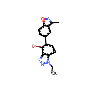 Cc1noc2ccc(-c3ccc4c(nnn4CC(C)(C)C)c3Br)cc12